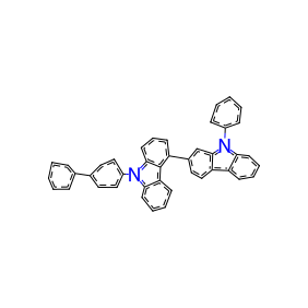 c1ccc(-c2ccc(-n3c4ccccc4c4c(-c5ccc6c7ccccc7n(-c7ccccc7)c6c5)cccc43)cc2)cc1